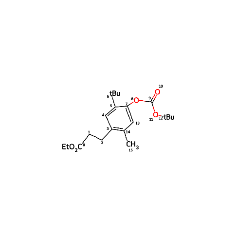 CCOC(=O)CCc1cc(C(C)(C)C)c(OC(=O)OC(C)(C)C)cc1C